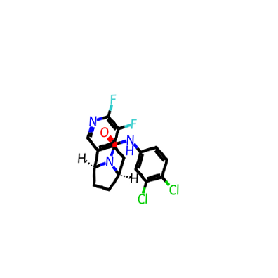 O=C(Nc1ccc(Cl)c(Cl)c1)N1[C@@H]2CC[C@H]1c1cnc(F)c(F)c1C2